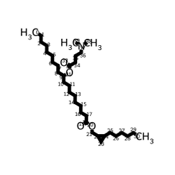 CCCCCCCCCC(CCCCCCCCC(=O)OCC1CC1CCCCCC)OC(=O)CCCN(C)C